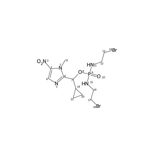 Cn1c([N+](=O)[O-])cnc1C(OP(=O)(NCCBr)NCCBr)C1CC1